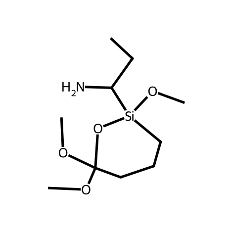 CCC(N)[Si]1(OC)CCCC(OC)(OC)O1